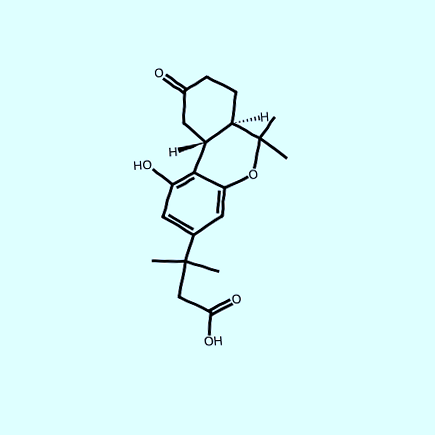 CC(C)(CC(=O)O)c1cc(O)c2c(c1)OC(C)(C)[C@@H]1CCC(=O)C[C@@H]21